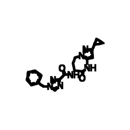 O=C(N[C@@H]1CCn2nc(C3CC3)cc2NC1=O)c1ncn(Cc2ccccc2)n1